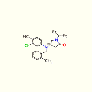 CCC(CC)N1C[C@@H](N(Cc2ccccc2C)c2ccc(C#N)c(Cl)c2)CC1=O